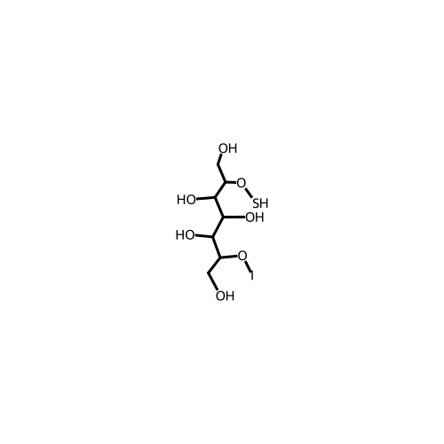 OCC(OS)C(O)C(O)C(O)C(CO)OI